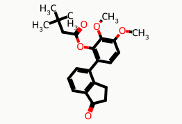 COc1ccc(-c2cccc3c2CCC3=O)c(OC(=O)CC(C)(C)C)c1OC